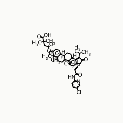 CC(C)C1=C2[C@H]3CC[C@@H]4[C@@]5(C)CC[C@H](OC(=O)CC(C)(C)C(=O)O)C(C)(C)[C@@H]5CC[C@@]4(C)[C@]3(C)CC[C@@]2(C=CC(=O)Nc2ccc(Cl)cn2)CC1=O